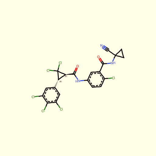 N#CC1(NC(=O)c2cc(NC(=O)[C@H]3[C@H](c4cc(Cl)c(Cl)c(Cl)c4)C3(Cl)Cl)ccc2Cl)CC1